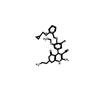 CCCC1CC(=O)C2=C(C1)NC(C)=C(C#N)C2c1cc(Br)c(OCc2ccccc2NCC2CC2)c(OCC)c1